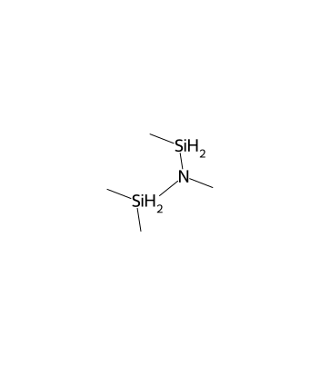 C[SiH2]C.C[SiH2]N(C)C